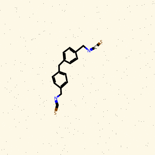 S=C=NCc1ccc(Cc2ccc(CN=C=S)cc2)cc1